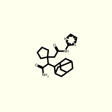 NC(=O)C(C1C2CC3CC(C2)CC1C3)C1(CC(=O)Nc2nccs2)CCCC1